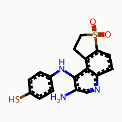 Nc1cnc2ccc3c(c2c1Nc1ccc(S)cc1)CCS3(=O)=O